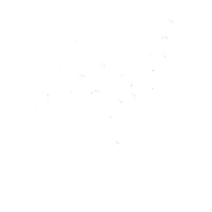 COc1c(C)cnc(Cn2nc3c4c(nc(N(C(=O)OC(C)C)C(=O)OC(C)(C)C)nc42)SCC(N=[N+]=[N-])C32CC2)c1C